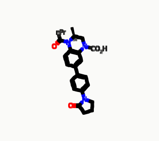 CCCC(=O)N1c2ccc(-c3ccc(N4CCCC4=O)cc3)cc2N(C(=O)O)C[C@@H]1C